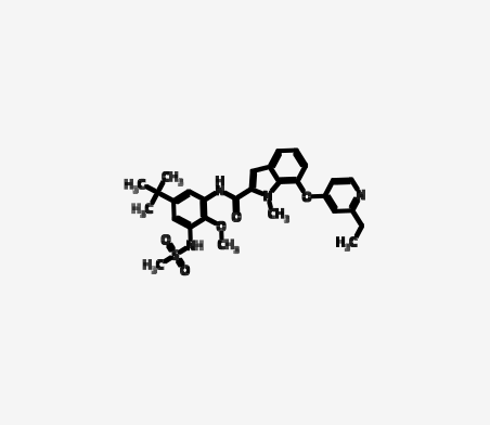 CCc1cc(Oc2cccc3cc(C(=O)Nc4cc(C(C)(C)C)cc(NS(C)(=O)=O)c4OC)n(C)c23)ccn1